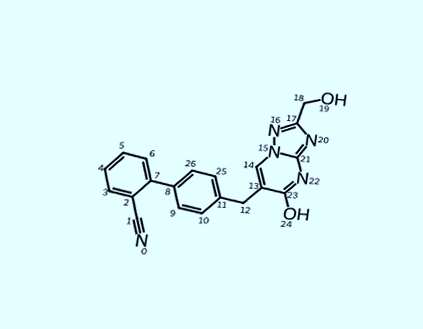 N#Cc1ccccc1-c1ccc(Cc2cn3nc(CO)nc3nc2O)cc1